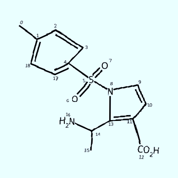 Cc1ccc(S(=O)(=O)n2ccc(C(=O)O)c2C(C)N)cc1